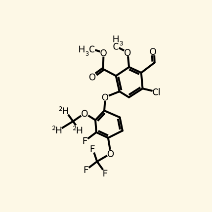 [2H]C([2H])([2H])Oc1c(Oc2cc(Cl)c(C=O)c(OC)c2C(=O)OC)ccc(OC(F)(F)F)c1F